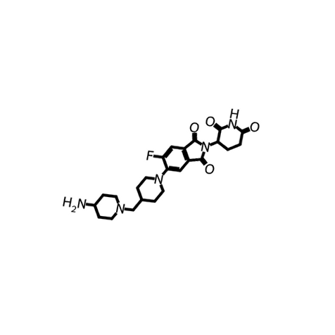 NC1CCN(CC2CCN(c3cc4c(cc3F)C(=O)N(C3CCC(=O)NC3=O)C4=O)CC2)CC1